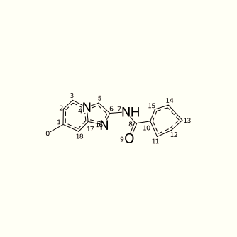 Cc1ccn2cc(NC(=O)c3ccccc3)nc2c1